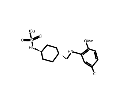 COc1ccc(Cl)cc1NC[C@H]1CC[C@H](NS(=O)(=O)C(C)(C)C)CC1